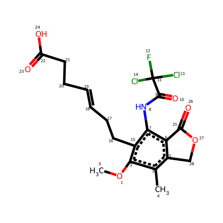 COc1c(C)c2c(c(NC(=O)C(F)(Cl)Cl)c1CC/C=C/CCC(=O)O)C(=O)OC2